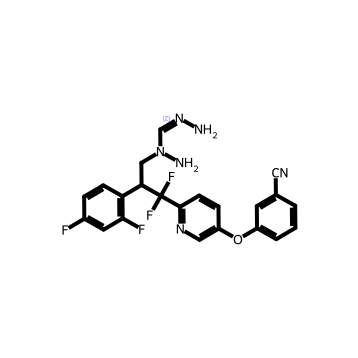 N#Cc1cccc(Oc2ccc(C(F)(F)C(CN(N)/C=N\N)c3ccc(F)cc3F)nc2)c1